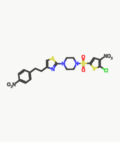 O=[N+]([O-])c1ccc(CCc2csc(N3CCN(S(=O)(=O)c4cc([N+](=O)[O-])c(Cl)s4)CC3)n2)cc1